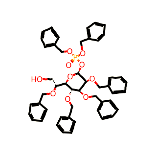 O=P(OCc1ccccc1)(OCc1ccccc1)O[C@@H]1O[C@H]([C@@H](CO)OCc2ccccc2)[C@@H](OCc2ccccc2)[C@H](OCc2ccccc2)[C@@H]1OCc1ccccc1